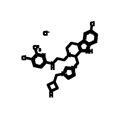 FC(F)(F)c1nc(NCCN2CCc3c([nH]c4ccc(Cl)cc34)C2C[n+]2ccn(CC3CNC3)c2)ccc1Cl.[Cl-]